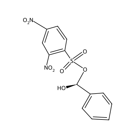 O=[N+]([O-])c1ccc(S(=O)(=O)O[C@H](O)c2ccccc2)c([N+](=O)[O-])c1